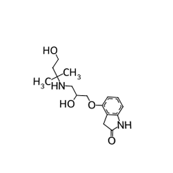 CC(C)(CCO)NCC(O)COc1cccc2c1CC(=O)N2